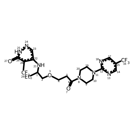 CCC(COCCC(=O)N1CCN(c2ncc(C(F)(F)F)cn2)CC1)Nc1cn[nH]c(=O)c1C(F)(F)F